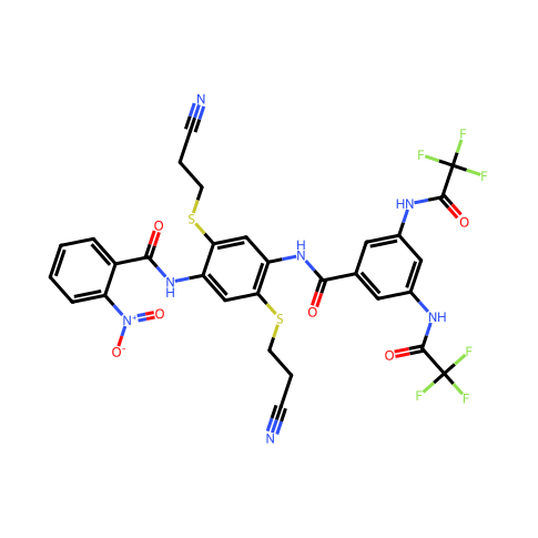 N#CCCSc1cc(NC(=O)c2ccccc2[N+](=O)[O-])c(SCCC#N)cc1NC(=O)c1cc(NC(=O)C(F)(F)F)cc(NC(=O)C(F)(F)F)c1